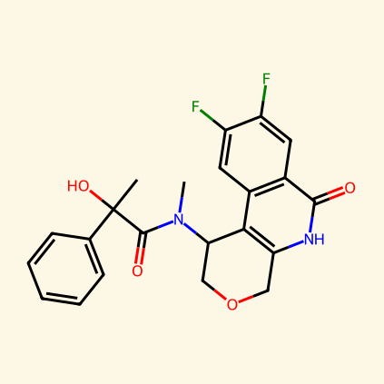 CN(C(=O)C(C)(O)c1ccccc1)C1COCc2[nH]c(=O)c3cc(F)c(F)cc3c21